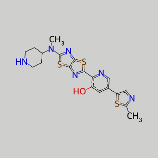 Cc1ncc(-c2cnc(-c3nc4sc(N(C)C5CCNCC5)nc4s3)c(O)c2)s1